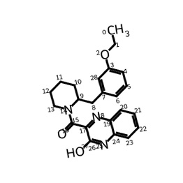 CCOc1cccc(CC2CCCCN2C(=O)c2nc3ccccc3nc2O)c1